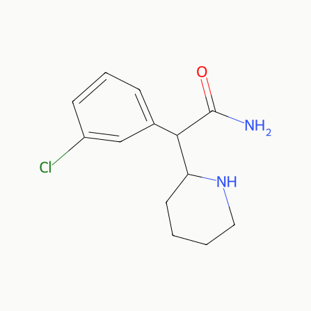 NC(=O)C(c1cccc(Cl)c1)C1CCCCN1